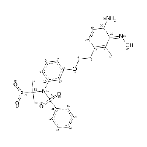 CC1=C(CCOc2cccc(N(C(C)(C)P(=O)=O)S(=O)(=O)c3ccccc3)c2)C=CC(N)C1=NO